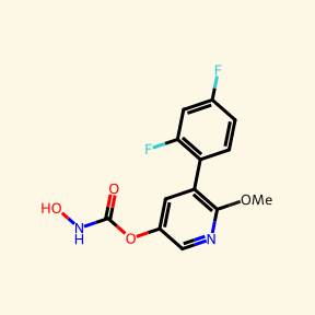 COc1ncc(OC(=O)NO)cc1-c1ccc(F)cc1F